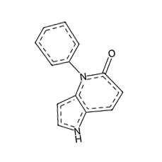 O=c1ccc2[nH]ccc2n1-c1ccccc1